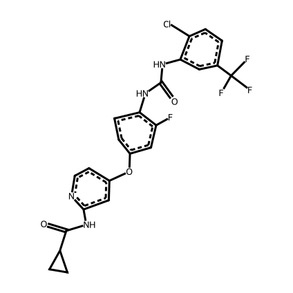 O=C(Nc1ccc(Oc2ccnc(NC(=O)C3CC3)c2)cc1F)Nc1cc(C(F)(F)F)ccc1Cl